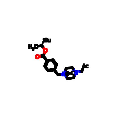 CC(=O)C[N+]12CC[N+](Cc3ccc(C(=O)O[C@H](C)C(C)(C)C)cc3)(CC1)CC2